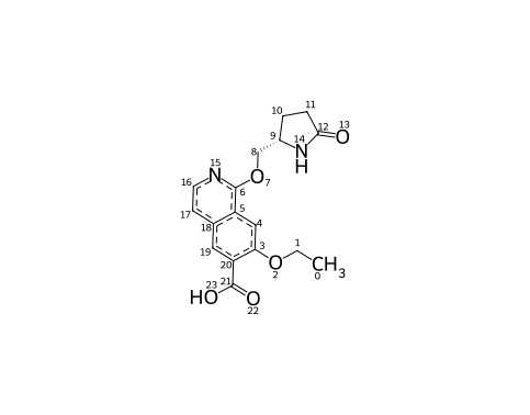 CCOc1cc2c(OC[C@@H]3CCC(=O)N3)nccc2cc1C(=O)O